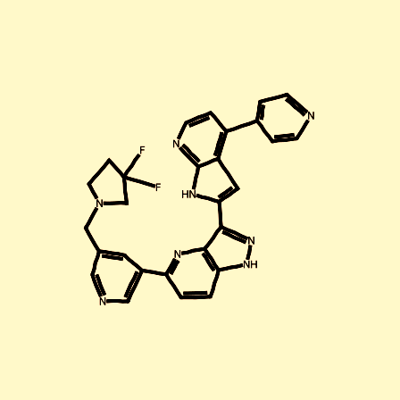 FC1(F)CCN(Cc2cncc(-c3ccc4[nH]nc(-c5cc6c(-c7ccncc7)ccnc6[nH]5)c4n3)c2)C1